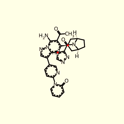 CC(=O)c1c([C@H]2C[C@H]3CC[C@@H](C2)N3C(=O)c2nnc[nH]2)nc2c(-c3ccc(-n4ccccc4=O)nc3)cnn2c1N